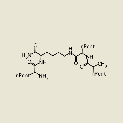 CCCCCC(C)C(=O)NC(CCCCC)C(=O)NCCCCC(NC(=O)C(N)CCCCC)C(N)=O